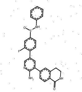 Nc1ncc(-c2ccc([S+]([O-])Nc3ccccc3)cc2F)cc1-c1ccc2c(c1)CCNC2=O